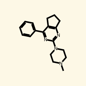 CN1CCN(c2nc3c(c(-c4ccccc4)n2)CCC3)CC1